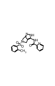 Cc1ccccc1S(=O)(=O)N1Cc2n[nH]c(NC(=O)c3ccccn3)c2C1